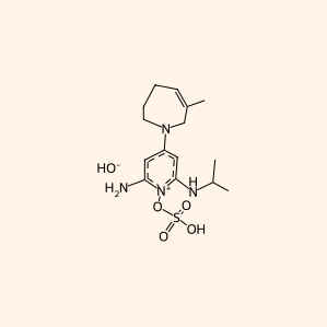 CC1=CCCCN(c2cc(N)[n+](OS(=O)(=O)O)c(NC(C)C)c2)C1.[OH-]